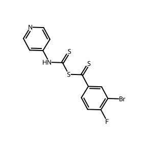 Fc1ccc(C(=S)SC(=S)Nc2ccncc2)cc1Br